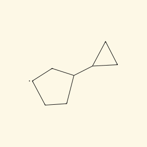 [CH]1CCC(C2CC2)C1